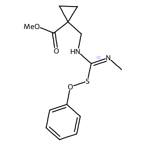 C/N=C(/NCC1(C(=O)OC)CC1)SOc1ccccc1